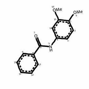 COc1ccc(NC(=O)c2ccccc2)cc1OC